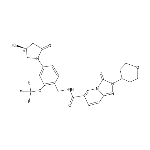 O=C(NCc1ccc(N2C[C@@H](O)CC2=O)cc1OC(F)(F)F)c1ccc2nn(C3CCOCC3)c(=O)n2c1